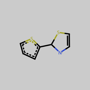 C1=CSC(c2cccs2)[N]1